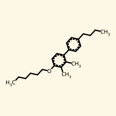 CCCCCCOc1ccc(-c2ccc(CCCC)cc2)c(C)c1C